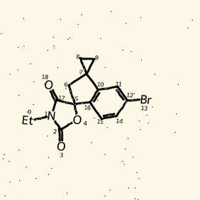 CCN1C(=O)OC2(CC3(CC3)c3cc(Br)ccc32)C1=O